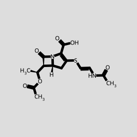 CC(=O)N/C=C/SC1=C(C(=O)O)N2C(=O)[C@H]([C@H](C)OC(C)=O)[C@H]2C1